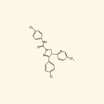 O=C(Nc1ccc(Cl)cc1)N1CC(c2ccc(C(F)(F)F)cn2)C(c2ccc(Cl)cc2)=N1